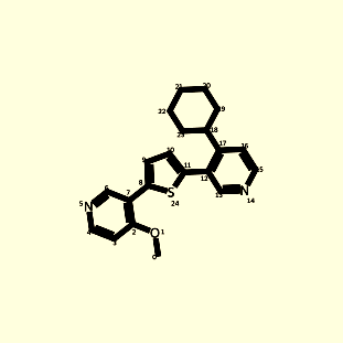 COc1ccncc1-c1ccc(-c2cnccc2C2CCCCC2)s1